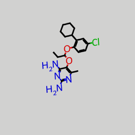 CCC(Oc1ccc(Cl)cc1C1CCCCC1)Oc1c(C)nc(N)nc1N